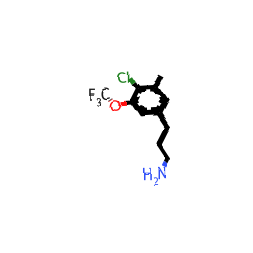 Cc1cc(CCCN)cc(OC(F)(F)F)c1Cl